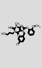 B=C1N(CCCO)C(=O)c2c(nc(Oc3ccccc3OC)n2Cc2ccc(Cl)cc2)N1C